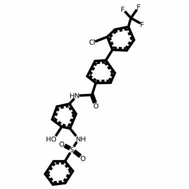 O=C(Nc1ccc(O)c(NS(=O)(=O)c2ccccc2)c1)c1ccc(-c2ccc(C(F)(F)F)cc2Cl)cc1